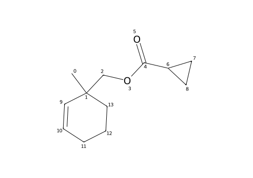 CC1(COC(=O)C2CC2)C=CCCC1